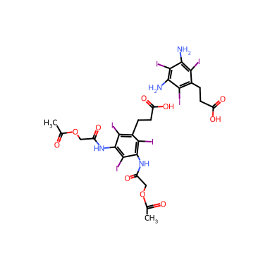 CC(=O)OCC(=O)Nc1c(I)c(CCC(=O)O)c(I)c(NC(=O)COC(C)=O)c1I.Nc1c(I)c(N)c(I)c(CCC(=O)O)c1I